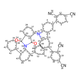 N#Cc1ccc(-c2ccc3c(c2)c2cc(-c4ccc(C#N)cc4C#N)ccc2n3-c2cccc3c2C(=O)N(c2c(-c4ccccc4)cccc2-c2ccccc2)C3=O)c(C#N)c1